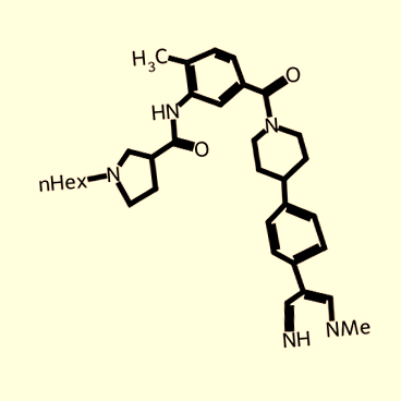 CCCCCCN1CCC(C(=O)Nc2cc(C(=O)N3CCC(c4ccc(/C(C=N)=C/NC)cc4)CC3)ccc2C)C1